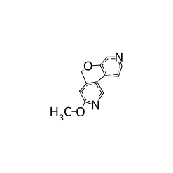 COc1cc2c(cn1)-c1ccncc1OC2